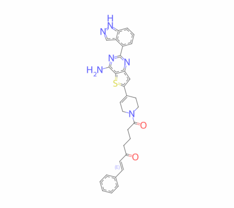 Nc1nc(-c2cccc3[nH]ncc23)nc2cc(C3=CCN(C(=O)CCCC(=O)/C=C/c4ccccc4)CC3)sc12